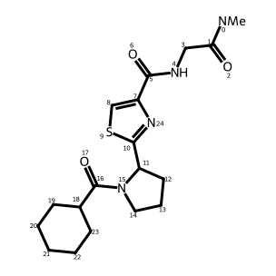 CNC(=O)CNC(=O)c1csc(C2CCCN2C(=O)C2CCCCC2)n1